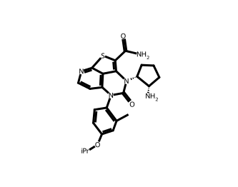 Cc1cc(OC(C)C)ccc1N1C(=O)N([C@@H]2CCC[C@@H]2N)c2c(C(N)=O)sc3nccc1c23